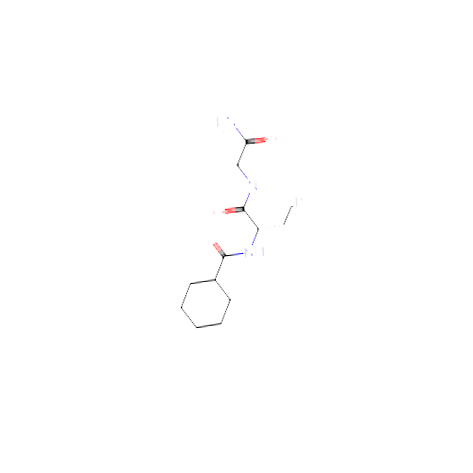 CC(C)C[C@H](NC(=O)C1CCCCC1)C(=O)NCC(N)=O